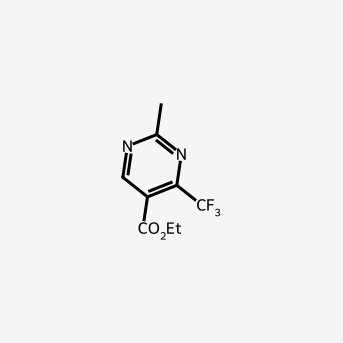 CCOC(=O)c1cnc(C)nc1C(F)(F)F